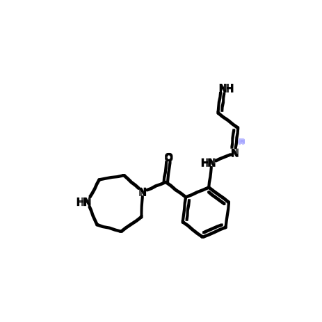 N=C/C=N\Nc1ccccc1C(=O)N1CCCNCC1